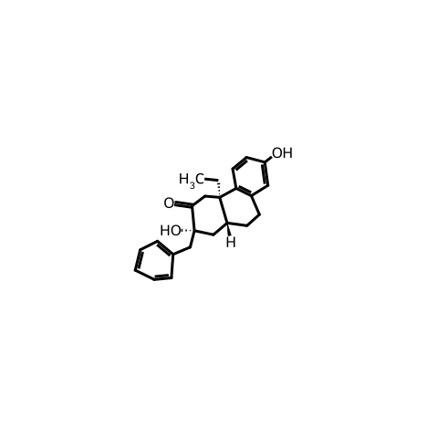 CC[C@@]12CC(=O)[C@](O)(Cc3ccccc3)C[C@H]1CCc1cc(O)ccc12